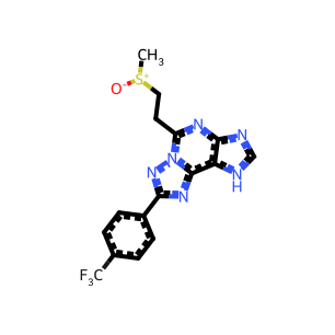 C[S+]([O-])CCc1nc2nc[nH]c2c2nc(-c3ccc(C(F)(F)F)cc3)nn12